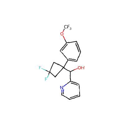 OC(c1ccccn1)C1(c2cccc(OC(F)(F)F)c2)CC(F)(F)C1